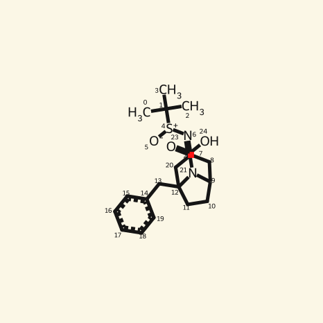 CC(C)(C)[S+]([O-])/N=C1/CC2CCC(Cc3ccccc3)(C1)N2C(=O)O